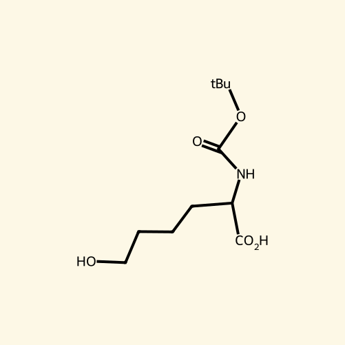 CC(C)(C)OC(=O)NC(CCCCO)C(=O)O